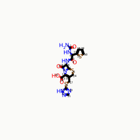 NC(=O)NC(C(=O)N[C@@H]1C(=O)N2C(C(=O)O)=C(CSc3ncn[nH]3)CSC12)c1cccs1